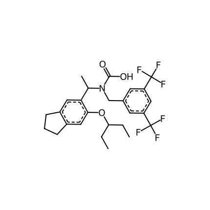 CCC(CC)Oc1cc2c(cc1C(C)N(Cc1cc(C(F)(F)F)cc(C(F)(F)F)c1)C(=O)O)CCC2